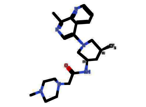 Cc1ncc(N2C[C@H](NC(=O)CN3CCN(C)CC3)C[C@H](C(F)(F)F)C2)c2cccnc12